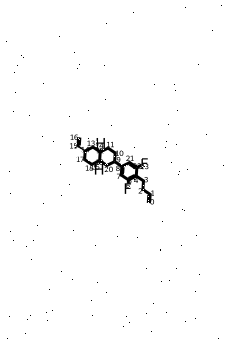 C=CCCc1c(F)cc(C2CC[C@@H]3C[C@H](C=C)CC[C@@H]3C2)cc1F